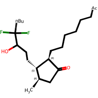 CCCCC(F)(F)C(O)CC[C@H]1[C@H](C)CC(=O)[C@@H]1CCCCCCC(C)=O